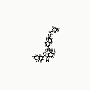 Cc1ccc(NC(=O)c2ccc3c(c2)OCCO3)cc1NC(=O)c1ccc2nc(OCCN3CC[C@H](F)C3)ccc2c1